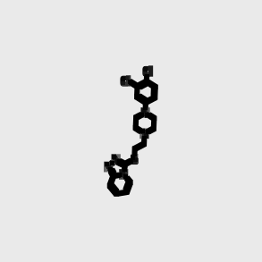 Clc1ccc(N2CCN(CCSc3nnc4ccccn34)CC2)cc1Cl